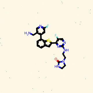 NCc1cnc(F)cc1-c1cccc2cc(-c3nc(NCCN4CCNC4=O)ncc3F)sc12